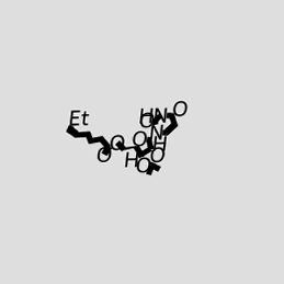 CC/C=C\CCCC(=O)OC[C@H]1O[C@@H](n2ccc(=O)[nH]c2=O)[C@@H]2OC(C)(C)O[C@@H]21